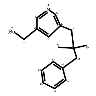 CC(C)(C)Cc1cncc(CC(C)(C)Cc2ccccc2)c1